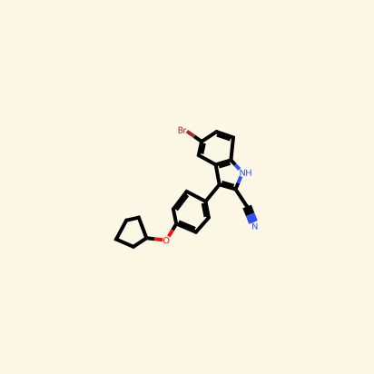 N#Cc1[nH]c2ccc(Br)cc2c1-c1ccc(OC2CCCC2)cc1